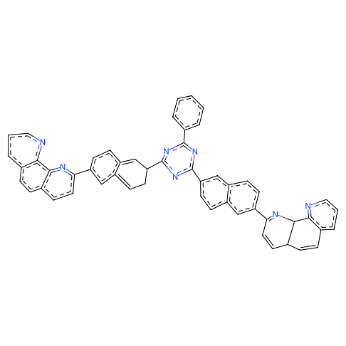 C1=CC2C=Cc3cccnc3C2N=C1c1ccc2cc(-c3nc(-c4ccccc4)nc(C4C=c5ccc(-c6ccc7ccc8cccnc8c7n6)cc5=CC4)n3)ccc2c1